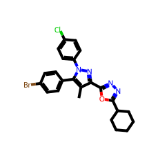 Cc1c(-c2nnc(C3CCCCC3)o2)nn(-c2ccc(Cl)cc2)c1-c1ccc(Br)cc1